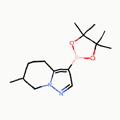 CC1CCc2c(B3OC(C)(C)C(C)(C)O3)cnn2C1